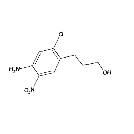 Nc1cc(Cl)c(CCCO)cc1[N+](=O)[O-]